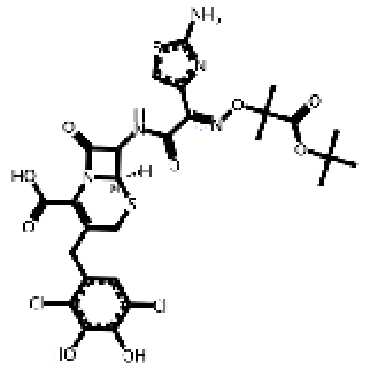 CC(C)(C)OC(=O)C(C)(C)O/N=C(/C(=O)NC1C(=O)N2C(C(=O)O)=C(Cc3cc(Cl)c(O)c(O)c3Cl)CS[C@H]12)c1csc(N)n1